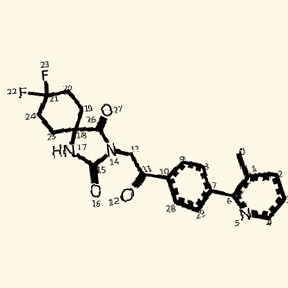 Cc1cccnc1-c1ccc(C(=O)CN2C(=O)NC3(CCC(F)(F)CC3)C2=O)cc1